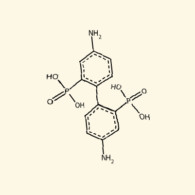 Nc1ccc(-c2ccc(N)cc2P(=O)(O)O)c(P(=O)(O)O)c1